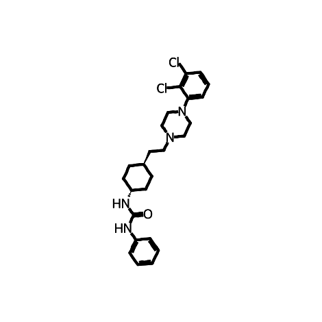 O=C(Nc1ccccc1)N[C@H]1CC[C@H](CCN2CCN(c3cccc(Cl)c3Cl)CC2)CC1